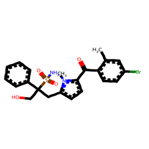 Cc1cc(Br)ccc1C(=O)c1ccc(CC(CO)(c2ccccc2)S(N)(=O)=O)n1C